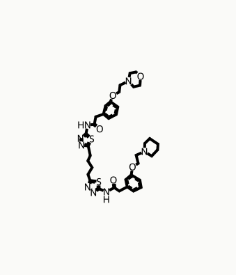 O=C(Cc1cccc(OCCN2CCCCC2)c1)Nc1nnc(CCCCc2nnc(NC(=O)Cc3cccc(OCCN4CCOCC4)c3)s2)s1